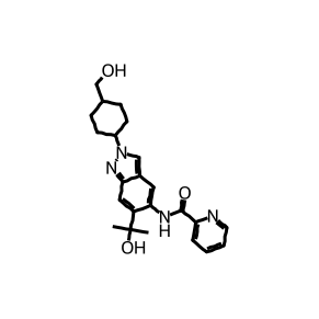 CC(C)(O)c1cc2nn(C3CCC(CO)CC3)cc2cc1NC(=O)c1ccccn1